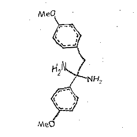 COc1ccc(CC(N)(N)c2ccc(OC)cc2)cc1